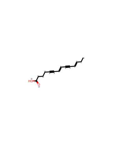 CCC=CC#CC=CC#CCCCC(=O)O